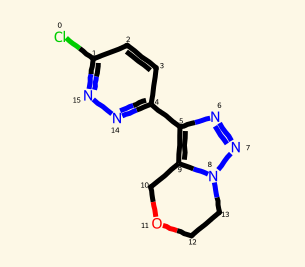 Clc1ccc(-c2nnn3c2COCC3)nn1